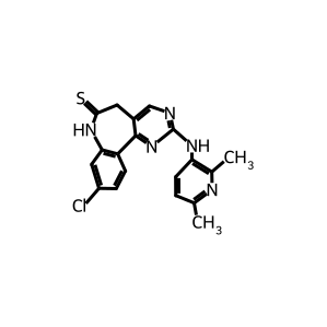 Cc1ccc(Nc2ncc3c(n2)-c2ccc(Cl)cc2NC(=S)C3)c(C)n1